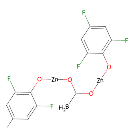 BC([O][Zn][O]c1c(F)cc(F)cc1F)[O][Zn][O]c1c(F)cc(F)cc1F